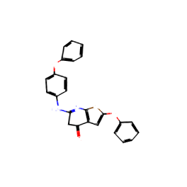 O=C1CC(Nc2ccc(Oc3ccccc3)cc2)=Nc2sc(Oc3ccccc3)cc21